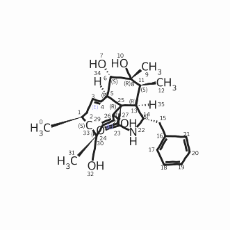 C[C@H]1C/C=C/[C@H]2[C@H](O)[C@](C)(O)[C@@H](C)[C@H]3[C@H](Cc4ccccc4)NC(=O)[C@]32[C@H](O)/C=C/[C@](C)(O)C1